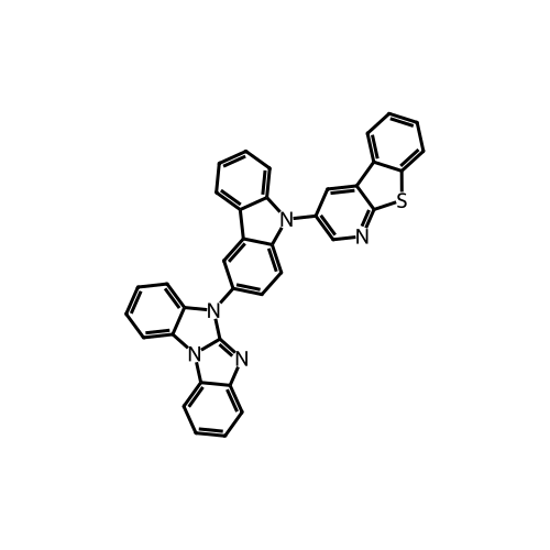 c1ccc2c(c1)nc1n(-c3ccc4c(c3)c3ccccc3n4-c3cnc4sc5ccccc5c4c3)c3ccccc3n21